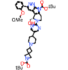 COCOc1ccccc1-c1cc2c3c(n(C(=O)OC(C)(C)C)c2nn1)CCN(c1ncc(C2CCN(C4CC5(C4)CN(C(=O)OC(C)(C)C)C5)CC2)cn1)[C@@H]3CO